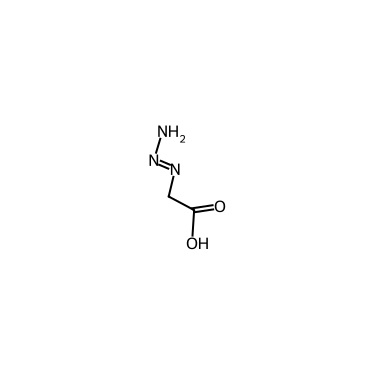 NN=NCC(=O)O